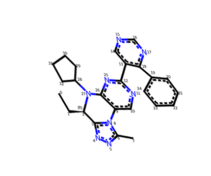 CC[C@@H]1c2nnc(C)n2-c2cnc(-c3cncnc3-c3ccccc3)nc2N1C1CCCC1